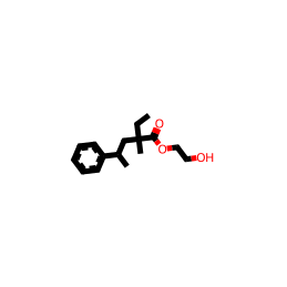 CCC(C)(CC(C)c1ccccc1)C(=O)OCCO